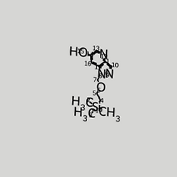 C[Si](C)(C)CCOCn1ncc2ncc(O)cc21